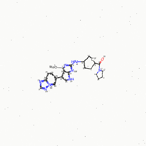 COc1nc(NC2CCC(C(=O)N3CCCC3)CC2)nc2[nH]cc(-c3ccc4ncnn4c3)c12